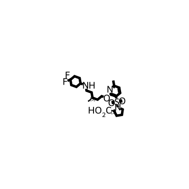 Cc1ccc(S(=O)(=O)N2CCC[C@H]2C(=O)O)c(OCC[C@@H](C)CCNC2CCC(F)(F)CC2)n1